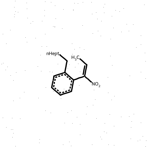 C/C=C(\c1ccccc1CCCCCCCC)[N+](=O)[O-]